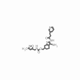 Cc1cc(CNC(=O)OCC2CCc3c(sc(NC(=O)CCc4cccnc4)c3N)C2)on1